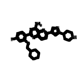 Nc1nc(-c2ccc(F)cc2OCC2CCCCC2)nc2ccc(-c3cnn(C4CCNCC4)c3)nc12